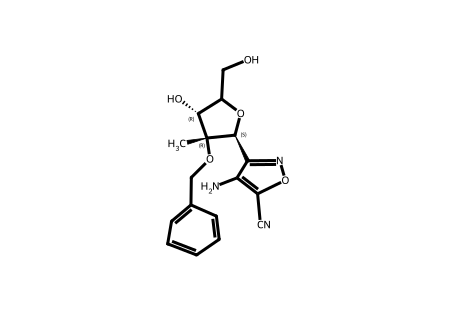 C[C@@]1(OCc2ccccc2)[C@H](O)C(CO)O[C@H]1c1noc(C#N)c1N